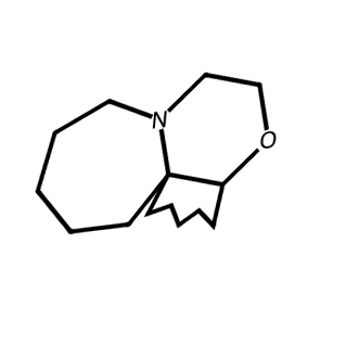 C1CCC2OCCN3CCCCCC23CC1